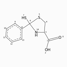 O=C(O)C1CSC(S)(c2ccccc2)N1